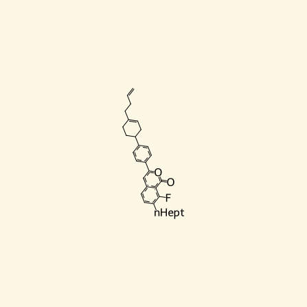 C=CCCC1=CCC(c2ccc(-c3cc4ccc(CCCCCCC)c(F)c4c(=O)o3)cc2)CC1